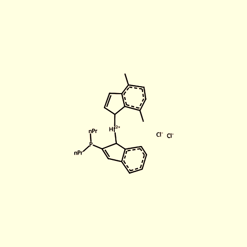 CCCP(CCC)C1=Cc2ccccc2[CH]1[Hf+2][CH]1C=Cc2c(C)ccc(C)c21.[Cl-].[Cl-]